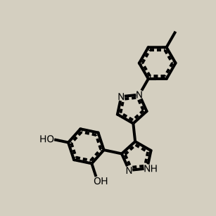 Cc1ccc(-n2cc(-c3c[nH]nc3-c3ccc(O)cc3O)cn2)cc1